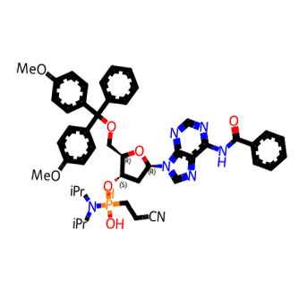 COc1ccc(C(OC[C@H]2O[C@@H](n3cnc4c(NC(=O)c5ccccc5)ncnc43)C[C@@H]2O[PH](O)(CCC#N)N(C(C)C)C(C)C)(c2ccccc2)c2ccc(OC)cc2)cc1